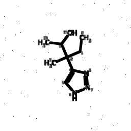 CCC(C)(c1c[nH]nn1)C(C)O